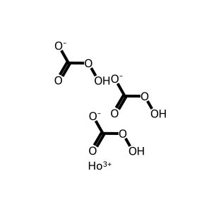 O=C([O-])OO.O=C([O-])OO.O=C([O-])OO.[Ho+3]